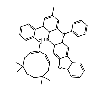 CC1=CC(c2ccccc2NC2=C/CC(C)(C)CCC(C)(C)C/C=C\2)C2BC3C=C4OC5C=CC=CC5C4=CC3N(c3ccccc3)C2=C1